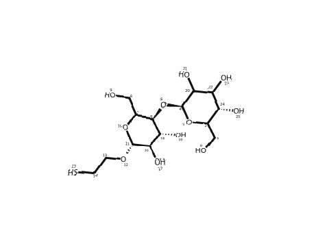 OCC1O[C@@H](O[C@@H]2C(CO)O[C@@H](OCCS)C(O)[C@H]2O)C(O)C(O)[C@@H]1O